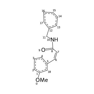 COc1cccc(/C=C\C(=O)NCc2ccccc2)c1